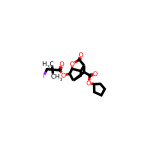 CC(C)(CI)C(=O)OC1C2CC3C1OC(=O)C3C2C(=O)OC1CCCC1